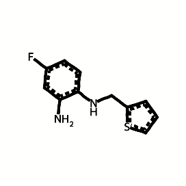 Nc1cc(F)ccc1NCc1cccs1